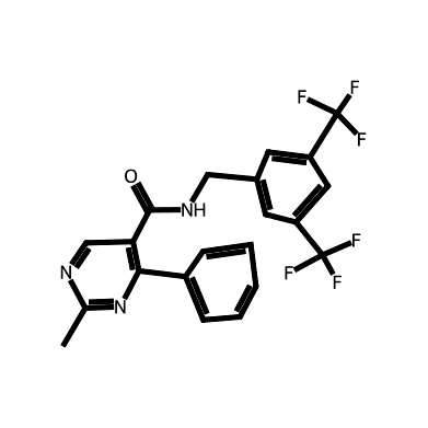 Cc1ncc(C(=O)NCc2cc(C(F)(F)F)cc(C(F)(F)F)c2)c(-c2ccccc2)n1